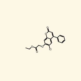 CCOC(=O)COc1cc2oc(=O)cc(-c3ccccc3)c2cc1Cl